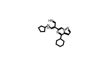 N=C/C(=C\NC1CCCC1)c1cn2nccc2c(C2CCCCC2)n1